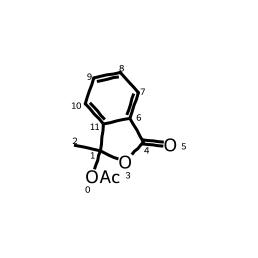 CC(=O)OC1(C)OC(=O)c2ccccc21